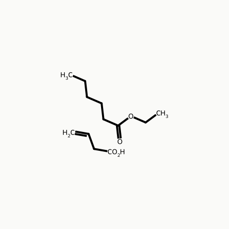 C=CCC(=O)O.CCCCCC(=O)OCC